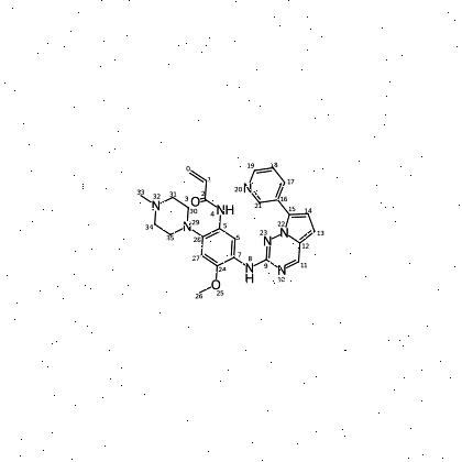 C=CC(=O)Nc1cc(Nc2ncc3ccc(-c4cccnc4)n3n2)c(OC)cc1N1CCN(C)CC1